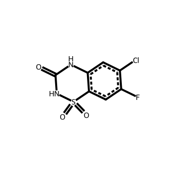 O=C1Nc2cc(Cl)c(F)cc2S(=O)(=O)N1